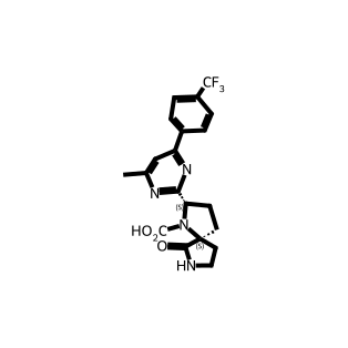 Cc1cc(-c2ccc(C(F)(F)F)cc2)nc([C@@H]2CC[C@@]3(CCNC3=O)N2C(=O)O)n1